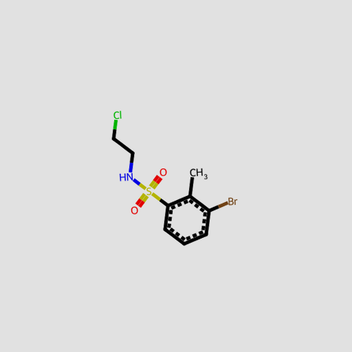 Cc1c(Br)cccc1S(=O)(=O)NCCCl